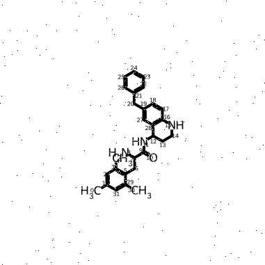 Cc1cc(C)c(CC(N)C(=O)NC2CCNc3ccc(Cc4ccccc4)cc32)c(C)c1